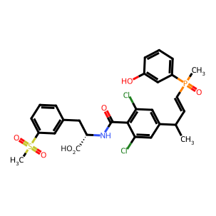 CC(/C=C/P(C)(=O)c1cccc(O)c1)c1cc(Cl)c(C(=O)N[C@@H](Cc2cccc(S(C)(=O)=O)c2)C(=O)O)c(Cl)c1